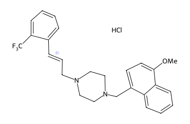 COc1ccc(CN2CCN(C/C=C/c3ccccc3C(F)(F)F)CC2)c2ccccc12.Cl